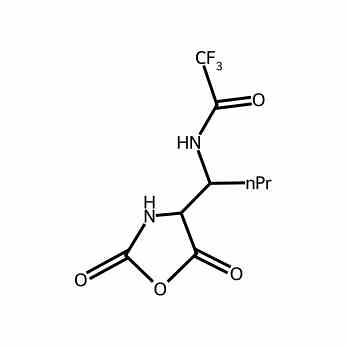 CCCC(NC(=O)C(F)(F)F)C1NC(=O)OC1=O